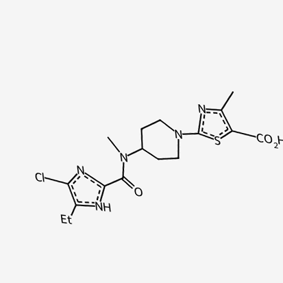 CCc1[nH]c(C(=O)N(C)C2CCN(c3nc(C)c(C(=O)O)s3)CC2)nc1Cl